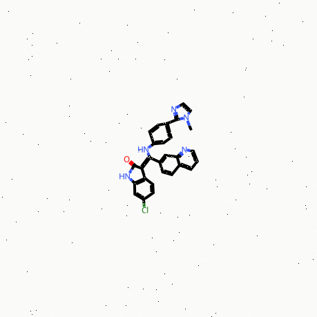 Cn1ccnc1-c1ccc(N/C(=C2\C(=O)Nc3cc(Cl)ccc32)c2ccc3cccnc3c2)cc1